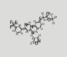 Cc1noc(C)c1CN(Cc1ccc(SC(C)(C)C(=O)OC(C)(C)C)cc1)c1cc(-c2cccc(C(F)(F)F)c2)ncn1